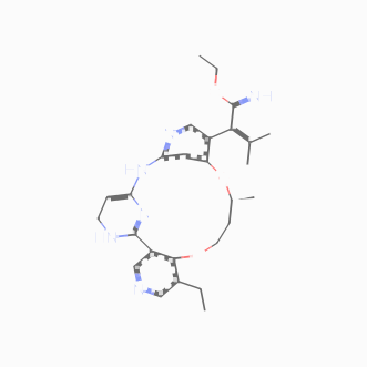 CCOC(=N)C(=C(C)C)c1cnc2cc1O[C@@H](C)CCOc1c(CC)cncc1C1=NC(=CCN1)N2